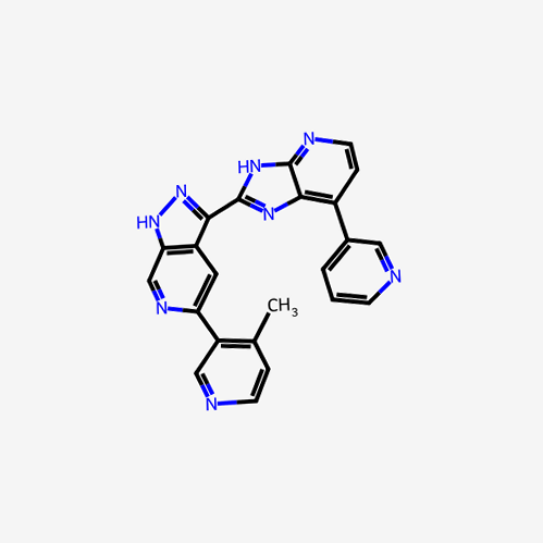 Cc1ccncc1-c1cc2c(-c3nc4c(-c5cccnc5)ccnc4[nH]3)n[nH]c2cn1